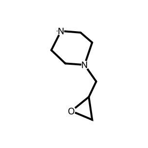 C1CN(CC2CO2)CC[N]1